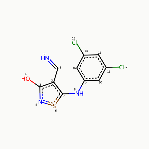 N=Cc1c(O)nsc1Nc1cc(Cl)cc(Cl)c1